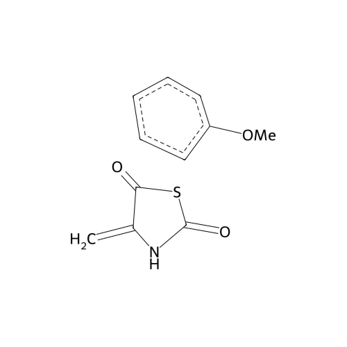 C=C1NC(=O)SC1=O.COc1ccccc1